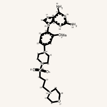 COc1cc(N2CCN(S(=O)(=O)CCCN3CCOCC3)CC2)ccc1-n1cnc2c(N)nc(N)nc21